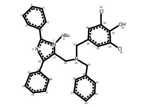 CCCCn1c(-c2ccccc2)nc(-c2ccccc2)c1CN(Cc1ccccc1)Cc1cc(Cl)c(O)c(Cl)c1